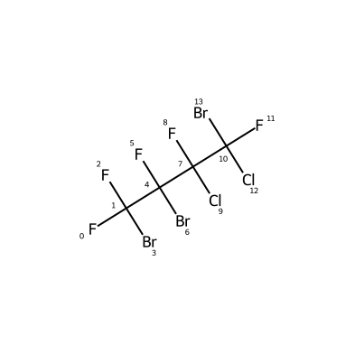 FC(F)(Br)C(F)(Br)C(F)(Cl)C(F)(Cl)Br